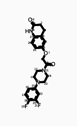 O=C1CCc2cc(OCC(=O)N3CCN(c4ccc(F)c(F)c4)CC3)ccc2N1